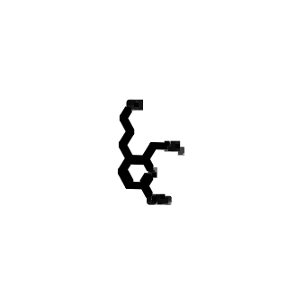 COc1ccc(CCCO)c(CN)n1